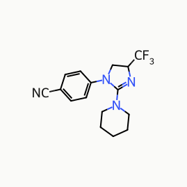 N#Cc1ccc(N2CC(C(F)(F)F)N=C2N2CCCCC2)cc1